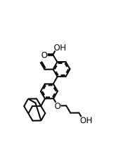 C=Cc1c(C(=O)O)cccc1-c1ccc(C23CC4CC(CC(C4)C2)C3)c(OCCCO)c1